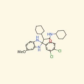 COc1ccc2c(c1)NC(c1ccc(Cl)c(Cl)c1)(C(C(=O)NC1CCCCC1)C1CCCCC1)N2